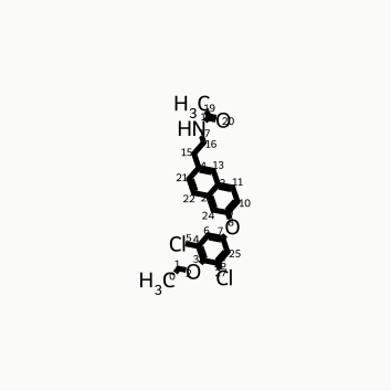 CCOc1c(Cl)cc(Oc2ccc3cc(CCNC(C)=O)ccc3c2)cc1Cl